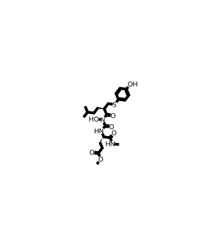 CNC(=O)[C@H](CCC(=O)OC)NC(=O)N(O)C(=O)[C@@H](CCC(C)C)CSc1ccc(O)cc1